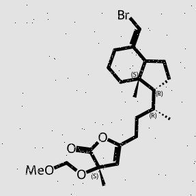 COCO[C@@]1(C)C=C(CC[C@@H](C)[C@H]2CCC3C(=CBr)CCC[C@]32C)OC1=O